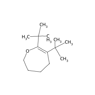 CC(C)(C)C1=C(C(C)(C)C)OCCCC1